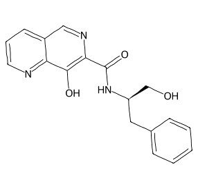 O=C(N[C@@H](CO)Cc1ccccc1)c1ncc2cccnc2c1O